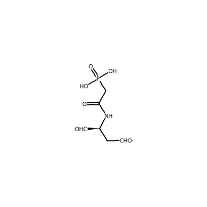 O=[C]C[C@@H]([C]=O)NC(=O)CP(=O)(O)O